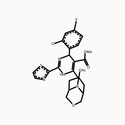 COC(=O)C1=C(CN2C3COCC2CC(OC(C)=O)C3)NC(c2nccs2)=NC1c1ccc(F)cc1Cl